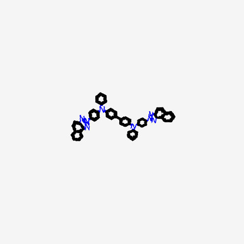 c1ccc(N(c2ccc(-c3ccc(N(c4ccccc4)c4ccc(-n5nc6ccc7ccccc7c6n5)cc4)cc3)cc2)c2ccc(-n3nc4ccc5ccccc5c4n3)cc2)cc1